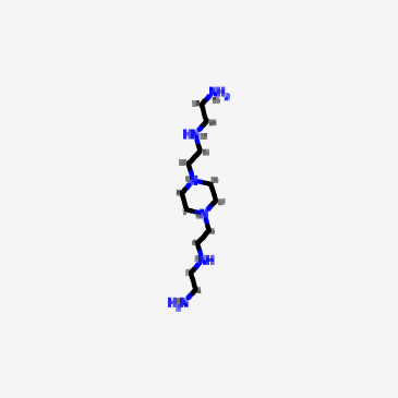 NCCNCCN1CCN(CCNCCN)CC1